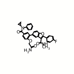 CNC(=O)c1c(-c2ccc(F)cc2)oc2ccc(-c3cc(C(=O)N(c4ccccc4)C4CC4)ccc3OCC(N)=O)cc12